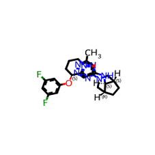 Cc1cc(N2C[C@H]3CC[C@@H](C2)[C@@H]3Nc2nc3n(n2)CCC[C@@H]3Oc2cc(F)cc(F)c2)cnn1